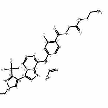 NCCNC(=O)CNC(=O)c1ccc(Nc2nccn3c(-c4cn(CC(F)F)nc4C(F)(F)F)cnc23)cc1Cl.O=CO